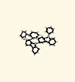 Oc1ccc2c3ccccc3n(-c3ccc4c(c3)c3ccccc3n4-c3ccccc3)c2c1-c1ccccc1-c1ccccc1